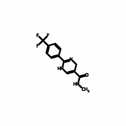 CNC(=O)C1=CNC(c2ccc(C(F)(F)F)cc2)=NC1